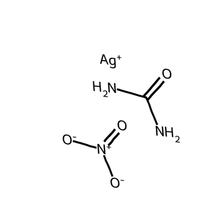 NC(N)=O.O=[N+]([O-])[O-].[Ag+]